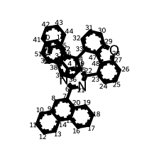 c1ccc(-c2nc(-c3cc4ccccc4c4ccccc34)nc(-c3cccc4oc5cccc(-c6cccc7sc8ccccc8c67)c5c34)n2)cc1